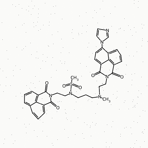 CN(CCCN(CCN1C(=O)c2cccc3cccc(c23)C1=O)S(C)(=O)=O)CCN1C(=O)c2cccc3c(-n4ccnc4)ccc(c23)C1=O